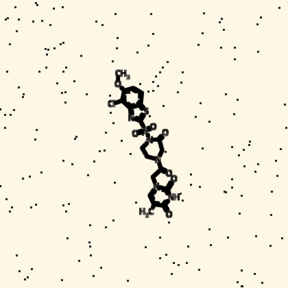 COc1ccc2sc(S(=O)(=O)N3CCN(C(=O)Cn4cc(C)c(=O)[nH]c4=O)CC3=O)nc2c1Cl